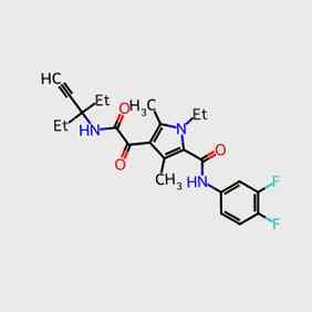 C#CC(CC)(CC)NC(=O)C(=O)c1c(C)c(C(=O)Nc2ccc(F)c(F)c2)n(CC)c1C